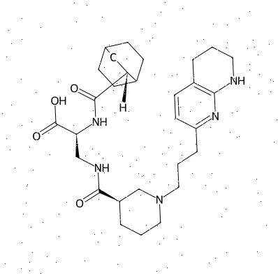 O=C(NC[C@H](NC(=O)[C@@H]1CC2CCC1CC2)C(=O)O)[C@@H]1CCCN(CCCc2ccc3c(n2)NCCC3)C1